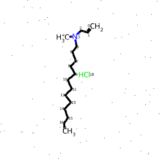 C=CCN(C)CCCCCCCCCCCCC.Cl